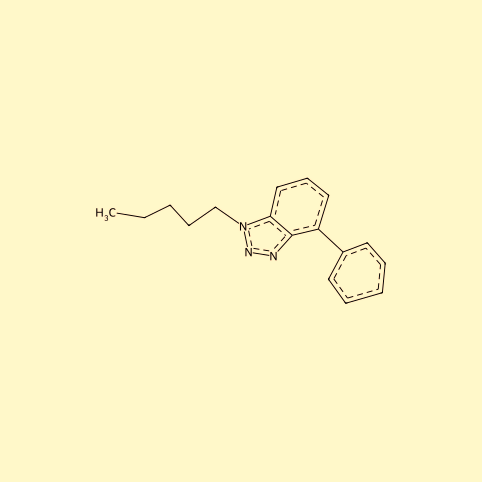 CCCCCn1nnc2c(-c3ccccc3)cccc21